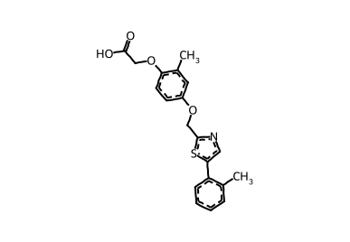 Cc1cc(OCc2ncc(-c3ccccc3C)s2)ccc1OCC(=O)O